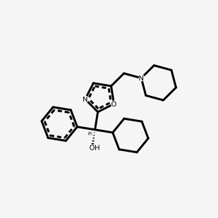 O[C@](c1ccccc1)(c1ncc(CN2CCCCC2)o1)C1CCCCC1